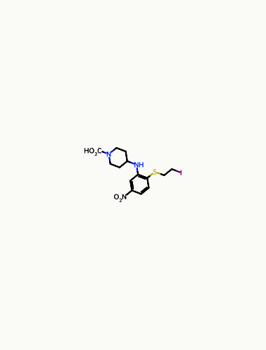 O=C(O)N1CCC(Nc2cc([N+](=O)[O-])ccc2SCCI)CC1